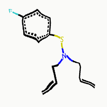 C=CCN(CC=C)Sc1ccc(F)cc1